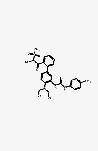 Cc1ccc(NC(=O)Nc2cc(-c3ccccc3C(=O)C(C#N)S(C)(=O)=O)ccc2N(CC(C)C)CC(C)C)cc1